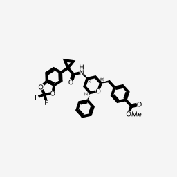 COC(=O)c1ccc(C[C@@H]2C[C@H](NC(=O)C3(c4ccc5c(c4)OC(F)(F)O5)CC3)C[C@@H](c3ccccc3)O2)cc1